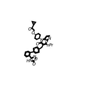 CCCc1c(Cc2ccc(-c3ccccc3-c3noc(=O)[nH]3)cc2)c(=O)n([C@H]2CC[C@H](OCC(=O)C3CC3)CC2)c2ccnn12